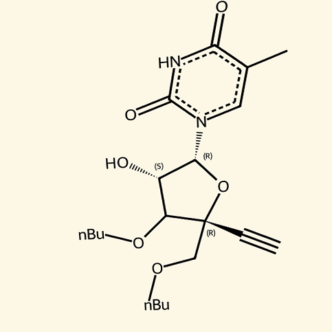 C#C[C@]1(COCCCC)O[C@@H](n2cc(C)c(=O)[nH]c2=O)[C@@H](O)C1OCCCC